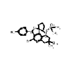 CC(C)c1nc2c(c3c1[C@@H](c1ccc(C#N)cc1)OC31CCCC1I)[C@@H](O[Si](C)(C)C(C)(C)C)CC(C)(C)C2